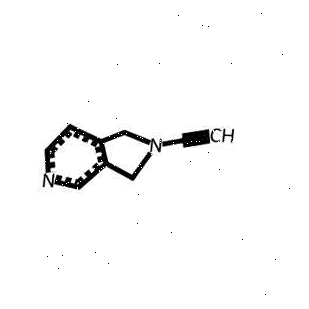 C#CN1Cc2ccncc2C1